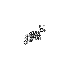 O=C(N[C@@H]1CCO[C@]12O[C@H](CO)[C@H](O)[C@H](n1cc(-c3cc(F)c(F)c(F)c3)nn1)[C@H]2O)c1sc2ccccc2c1Br